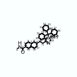 CNC(=O)c1ccc2cc(CCC3=C[N+](O)(C(c4ccccc4)(c4ccccc4)c4ccccc4)C=N3)ccc2c1